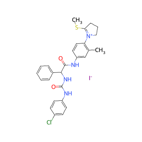 CSC1=[N+](c2ccc(NC(=O)C(NC(=O)Nc3ccc(Cl)cc3)c3ccccc3)cc2C)CCC1.[I-]